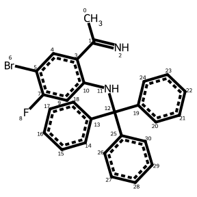 CC(=N)c1cc(Br)c(F)cc1NC(c1ccccc1)(c1ccccc1)c1ccccc1